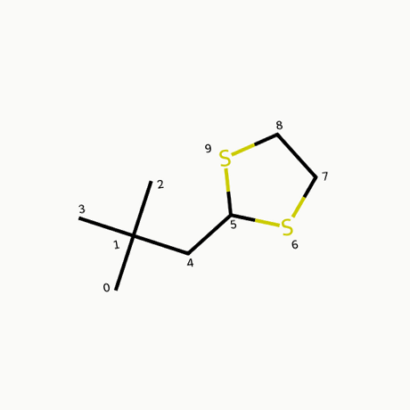 CC(C)(C)CC1SCCS1